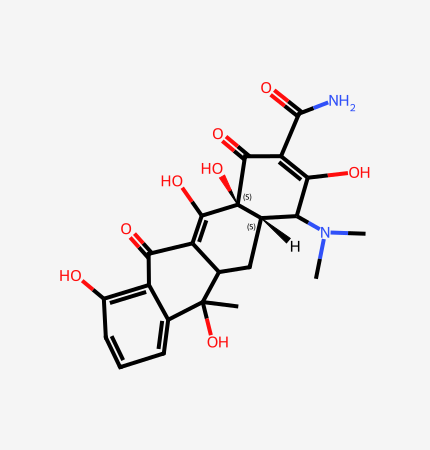 CN(C)C1C(O)=C(C(N)=O)C(=O)[C@@]2(O)C(O)=C3C(=O)c4c(O)cccc4C(C)(O)C3C[C@@H]12